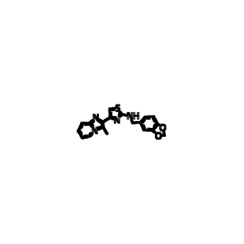 Cc1c(-c2csc(NCc3ccc4c(c3)OCO4)n2)nc2ccccn12